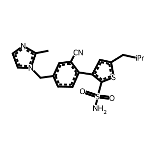 Cc1nccn1Cc1ccc(-c2cc(CC(C)C)sc2S(N)(=O)=O)c(C#N)c1